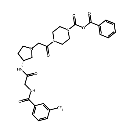 O=C(CNC(=O)c1cccc(C(F)(F)F)c1)N[C@@H]1CCN(CC(=O)N2CCN(C(=O)OC(=O)c3ccccc3)CC2)C1